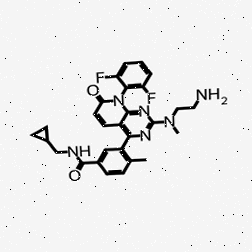 Cc1ccc(C(=O)NCC2CC2)cc1-c1nc(N(C)CCN)nc2c1ccc(=O)n2-c1c(F)cccc1F